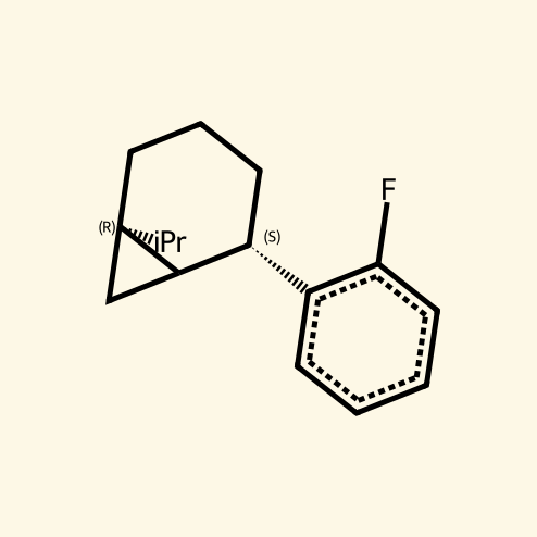 CC(C)[C@]12CCC[C@H](c3ccccc3F)C1C2